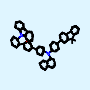 CC1(C)c2ccccc2-c2ccc(-c3ccc(N(c4ccc(-c5ccc(-c6ccccc6-n6c7ccccc7c7ccccc76)cc5)cc4)c4cccc5ccccc45)cc3)cc21